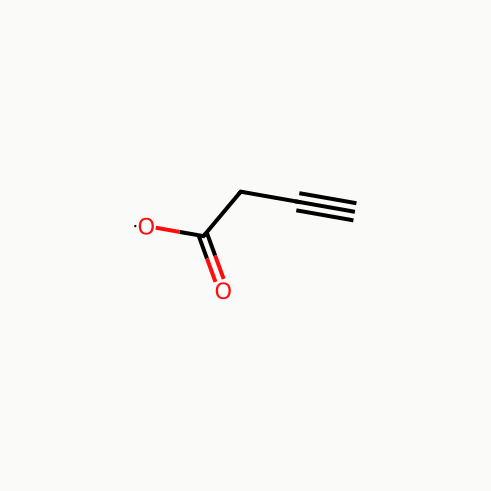 C#CCC([O])=O